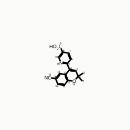 CC1(C)C=C(c2ccc(C(=O)O)cn2)c2cc(C#N)ccc2O1